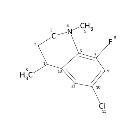 CC1CCN(C)c2c(F)cc(Cl)cc21